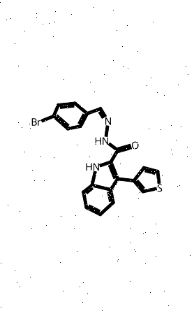 O=C(N/N=C\c1ccc(Br)cc1)c1[nH]c2ccccc2c1-c1ccsc1